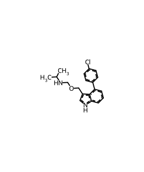 CC(C)NCOCc1c[nH]c2cccc(-c3ccc(Cl)cc3)c12